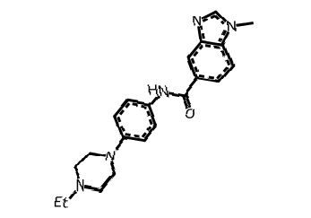 CCN1CCN(c2ccc(NC(=O)c3ccc4c(c3)ncn4C)cc2)CC1